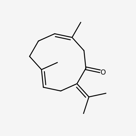 CC(C)=C1C/C=C(\C)CC/C=C(/C)CC1=O